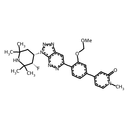 COCOc1cc(-c2ccn(C)c(=O)c2)ccc1-c1cc2nnn([C@H]3CC(C)(C)NC(C)(C)[C@H]3F)c2nn1